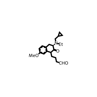 CCN(CC1CC1)[C@@H]1Cc2ccc(OC)cc2C(CCCC=O)C1=O